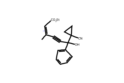 CCOC(=O)/C=C(/C)C#CC(O)(c1ccccc1)C1(C#N)CC1